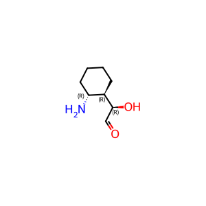 N[C@@H]1CCCC[C@H]1[C@@H](O)C=O